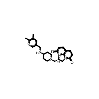 Cc1cc(CNC2CCN(C[C@@H]3Cn4c(=O)ccc5ccc(=O)n3c54)CC2)cnc1C